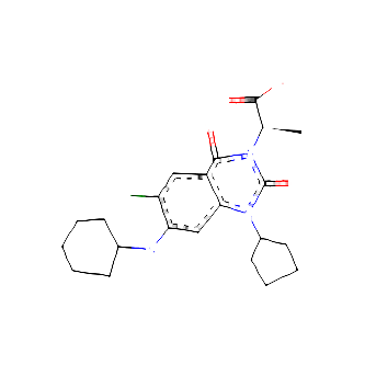 C[C@H](C(=O)O)n1c(=O)c2cc(F)c(NC3CCCCC3)cc2n(C2CCCC2)c1=O